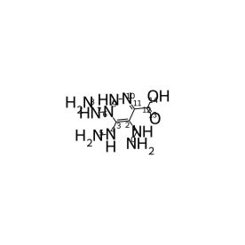 NNC1=C(NN)N(NN)NN=C1C(=O)O